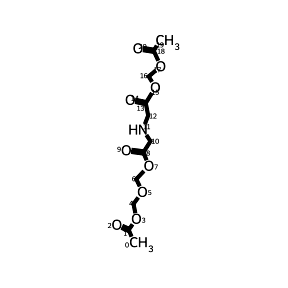 CC(=O)OCOCOC(=O)CNCC(=O)OCOC(C)=O